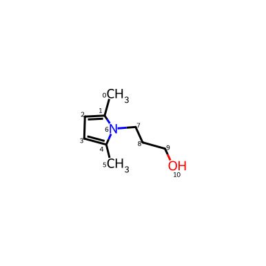 Cc1ccc(C)n1CCCO